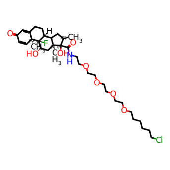 C[C@@H]1CC2[C@@H]3CCC4=CC(=O)C=C[C@]4(C)[C@@]3(F)[C@@H](O)C[C@]2(C)[C@@]1(O)C(=O)NCCOCCOCCOCCOCCCCCCCl